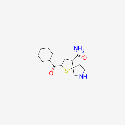 NC(=O)C1CC(C(=O)C2CCCCC2)SC12CCNC2